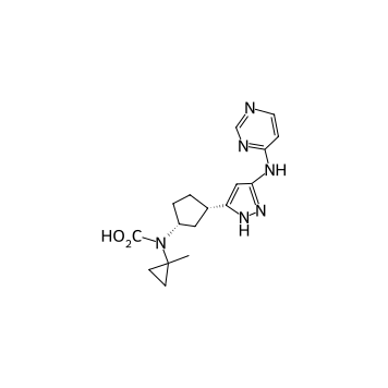 CC1(N(C(=O)O)[C@@H]2CC[C@H](c3cc(Nc4ccncn4)n[nH]3)C2)CC1